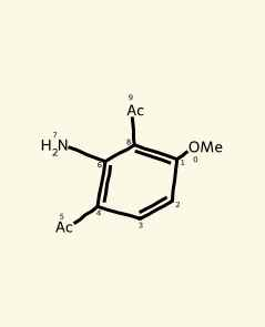 COc1ccc(C(C)=O)c(N)c1C(C)=O